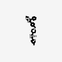 Cc1ccc(-c2nnc(C3CCN(Cc4ccc(-c5nc6sccn6c5-c5ccccc5)cc4)CC3)[nH]2)nc1